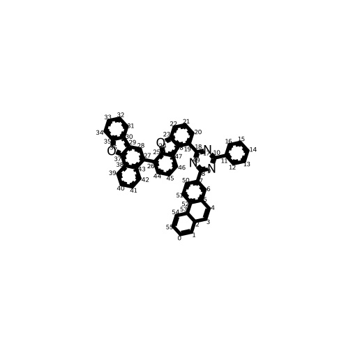 C1=CC2C=Cc3cc(-c4nc(-c5ccccc5)nc(-c5cccc6oc7c(-c8cc9c%10ccccc%10oc9c9ccccc89)cccc7c56)n4)ccc3C2C=C1